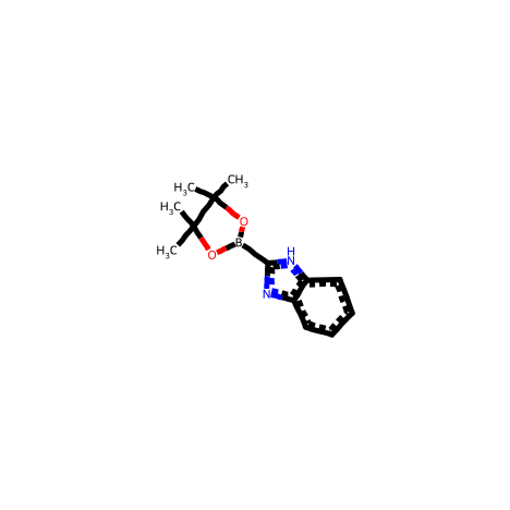 CC1(C)OB(c2nc3ccccc3[nH]2)OC1(C)C